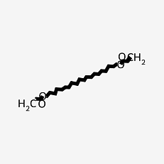 C=CC(=O)OCCCCCCCCCCCCCCCCCCCCOC(=O)C=C